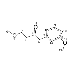 COCCC(=O)Cc1cccc(OC)c1